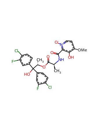 COc1cc[n+]([O-])c(C(=O)N[C@@H](C)C(=O)O[C@@H](C)C(O)(c2ccc(Cl)c(F)c2)c2ccc(Cl)c(F)c2)c1O